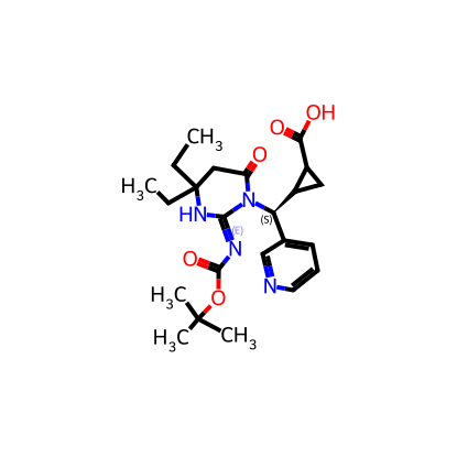 CCC1(CC)CC(=O)N([C@H](c2cccnc2)C2CC2C(=O)O)/C(=N/C(=O)OC(C)(C)C)N1